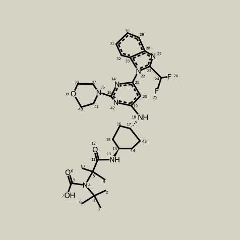 CC(C)(C)N(C(=O)O)C(C)(C)C(=O)N[C@H]1CC[C@H](Nc2cc(-n3c(C(F)F)nc4ccccc43)nc(N3CCOCC3)n2)CC1